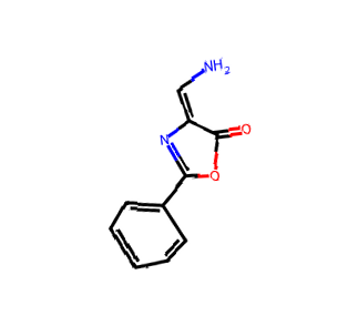 NC=C1N=C(c2ccccc2)OC1=O